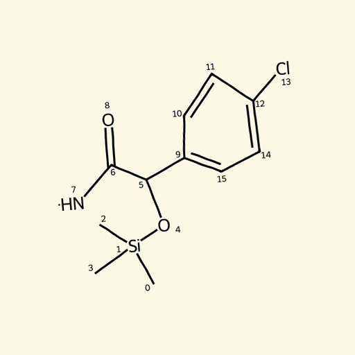 C[Si](C)(C)OC(C([NH])=O)c1ccc(Cl)cc1